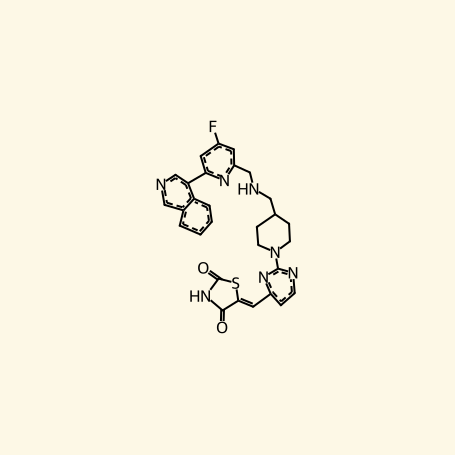 O=C1NC(=O)C(=Cc2ccnc(N3CCC(CNCc4cc(F)cc(-c5cncc6ccccc56)n4)CC3)n2)S1